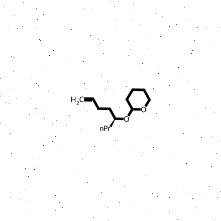 C=CCC[C@H](CCC)OC1CCCCO1